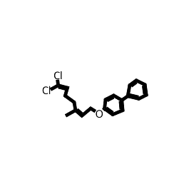 CC(=CCOc1ccc(-c2ccccc2)cc1)CCC=C(Cl)Cl